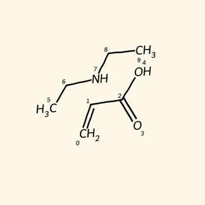 C=CC(=O)O.CCNCC